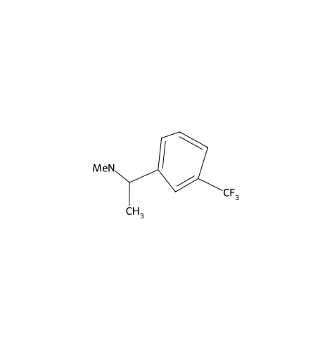 [CH2-][NH2+]C(C)c1cccc(C(F)(F)F)c1